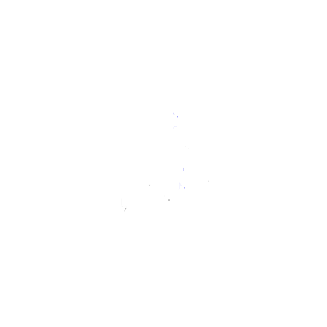 CO/N=C/[C@@H]1CC(=O)N1[Si](c1ccccc1)(c1ccccc1)C(C)(C)C